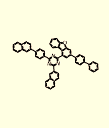 c1ccc(-c2ccc(-c3cc(-c4nc(-c5ccc(-c6ccc7ccccc7c6)cc5)nc(-c5ccc6ccccc6c5)n4)c4c(c3)oc3ccccc34)cc2)cc1